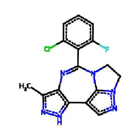 Cc1n[nH]c2c1N=C(c1c(F)cccc1Cl)N1CCn3ncc-2c31